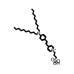 CCCCCCCCCCN(CCCCCCCCCC)c1ccc(/C=C/c2cc[n+](CCCS(=O)(=O)O)cc2)cc1